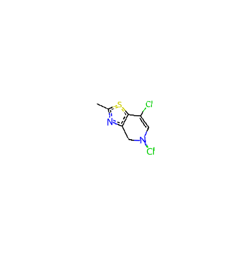 Cc1nc2c(s1)C(Cl)=CN(Cl)C2